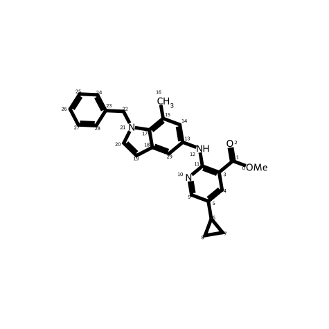 COC(=O)c1cc(C2CC2)cnc1Nc1cc(C)c2c(ccn2Cc2ccccc2)c1